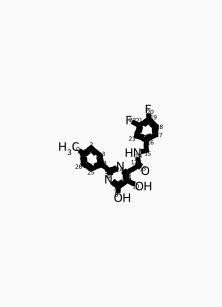 Cc1ccc(-c2nc(O)c(O)c(C(=O)NCc3ccc(F)c(F)c3)n2)cc1